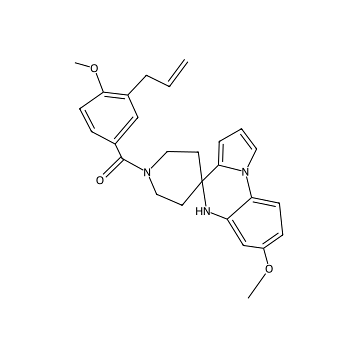 C=CCc1cc(C(=O)N2CCC3(CC2)Nc2cc(OC)ccc2-n2cccc23)ccc1OC